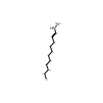 [2H]NC=CCCCCCCCCC